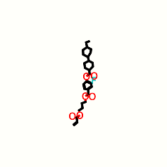 C=CC(=O)OCCCCOC(=O)c1ccc(OC(=O)C2CCC(C3CCC(CC)CC3)CC2)c(F)c1